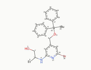 CCC(CO)Nc1cc(CO[Si](c2ccccc2)(c2ccccc2)C(C)(C)C)cc(Br)n1